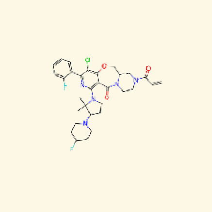 C=CC(=O)N1CCN2C(=O)c3c(N4CCC(N5CCC(F)CC5)C4(C)C)nc(-c4ccccc4F)c(Cl)c3OCC2C1